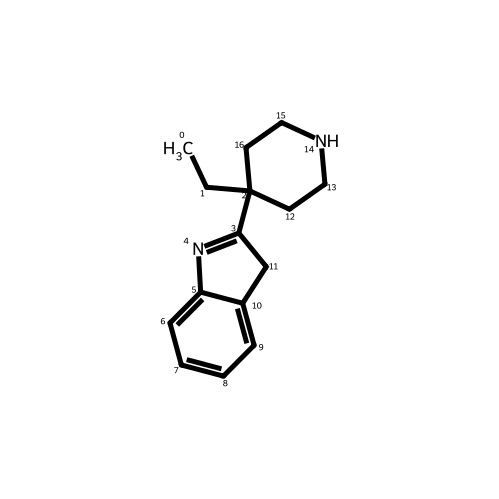 CCC1(C2=Nc3ccccc3C2)CCNCC1